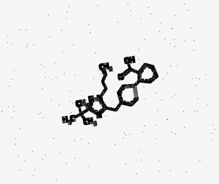 C=CCCn1nc(C(C)(C)C)nc1Cc1ccc(-c2ccccc2C(=O)O)cc1